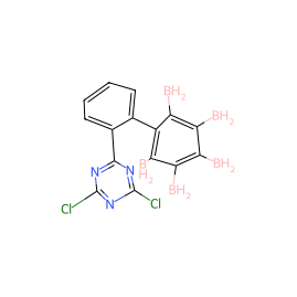 Bc1c(B)c(B)c(-c2ccccc2-c2nc(Cl)nc(Cl)n2)c(B)c1B